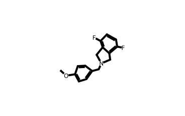 COc1ccc(CN2Cc3c(F)ccc(F)c3C2)cc1